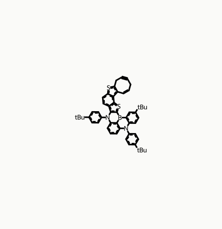 CC(C)(C)c1ccc(N2c3ccc(C(C)(C)C)cc3B3c4sc5c(ccc6sc7c(c65)/C=C\CC#CC7)c4N(c4ccc(C(C)(C)C)cc4)c4cccc2c43)cc1